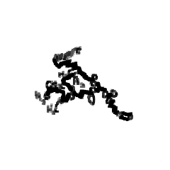 CCCCC/C=C\C/C=C\CCCCCCCC(=O)OCC(COC(=O)CCC(OCCC(C)CCC=C(C)C)OCCC(C)CCC=C(C)C)COC(=O)OCCCCN1CCOCC1